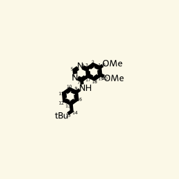 COc1cc2ncnc(Nc3cccc(CC(C)(C)C)c3)c2cc1OC